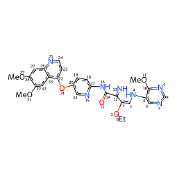 CCO/C(=C/Nc1cncnc1OC)C(=N)C(=O)Nc1ccc(Oc2ccnc3cc(OC)c(OC)cc23)cn1